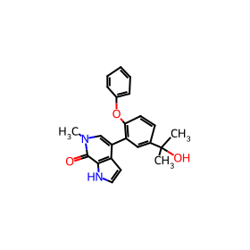 Cn1cc(-c2cc(C(C)(C)O)ccc2Oc2ccccc2)c2cc[nH]c2c1=O